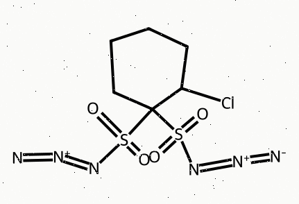 [N-]=[N+]=NS(=O)(=O)C1(S(=O)(=O)N=[N+]=[N-])CCCCC1Cl